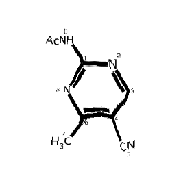 CC(=O)Nc1ncc(C#N)c(C)n1